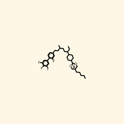 CCCCCC12COC(C3CCC(C(CC)CCC(C)CCc4ccc(-c5cc(F)c(F)c(F)c5)c(F)c4)CC3)(OC1)OC2